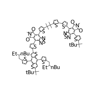 CCCCC(CC)Cc1ccc(-c2c3cc(C(C)(C)C(C)(C)C)sc3c(-c3ccc(CC(CC)CCCC)s3)c3cc(-c4ccc(-c5c6c(c(-c7ccc(C(C)(C)C(C)(C)c8ccc(-c9ccc(-c%10c%11c(c(-c%12ccc(C(C)(C)C(C)(C)C)s%12)c%12nsnc%10%12)C(=O)N(C)C%11=O)s9)s8)s7)c7nsnc57)C(=O)N(C)C6=O)s4)sc23)s1